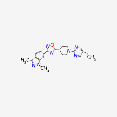 CCc1cnc(N2CCC(c3nc(-c4ccc5c(C)nn(C)c5c4)no3)CC2)nc1